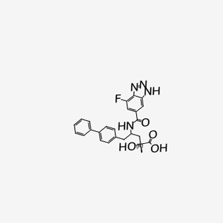 C[C@@](O)(CC(Cc1ccc(-c2ccccc2)cc1)NC(=O)c1cc(F)c2nn[nH]c2c1)C(=O)O